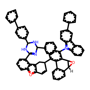 C1=CC(c2ccc(-n3c4ccccc4c4cc(-c5ccccc5)ccc43)c3c2-c2ccccc2[C@H]2OC32)Cc2c1oc1cccc(C3=NC(c4ccccc4)NC(c4ccc(-c5ccccc5)cc4)N3)c21